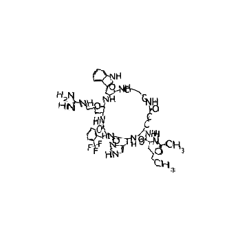 CCCC[C@H](NC(C)=O)C(=O)N[C@H]1CCC(=O)NCCCCNC(=O)[C@H](Cc2c[nH]c3ccccc23)NC(=O)[C@H](CCCNC(=N)N)NC(=O)[C@@H](Cc2ccccc2C(F)(F)F)NC(=O)[C@H](Cc2c[nH]cn2)NC1=O